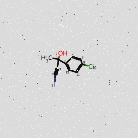 CC(O)(C#CI)c1ccc(Cl)cc1